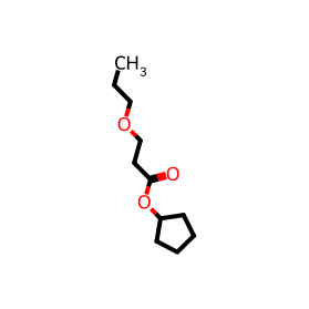 CCCOCCC(=O)OC1CCCC1